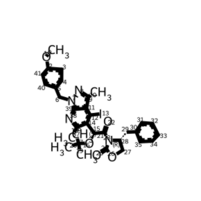 COc1ccc(Cn2nc(C)c3c(I)c([C@H](OC(C)(C)C)C(=O)N4C(=O)OC[C@H]4Cc4ccccc4)c(C)nc32)cc1